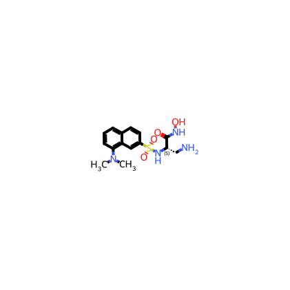 CN(C)c1cccc2ccc(S(=O)(=O)N[C@@H](CN)C(=O)NO)cc12